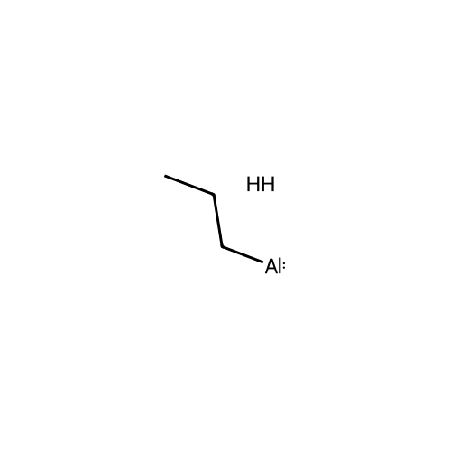 CC[CH2][Al].[HH]